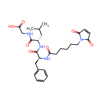 CC(C)C[C@H](NC(=O)[C@H](Cc1ccccc1)NC(=O)CCCCCN1C(=O)C=CC1=O)C(=O)NCC(=O)O